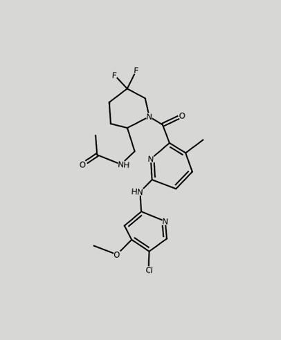 COc1cc(Nc2ccc(C)c(C(=O)N3CC(F)(F)CCC3CNC(C)=O)n2)ncc1Cl